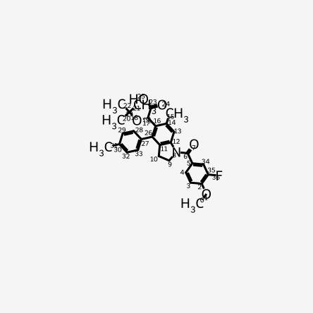 COc1ccc(C(=O)N2CCc3c2cc(C)c([C@H](OC(C)(C)C)C(=O)O)c3-c2ccc(C)cc2)cc1F